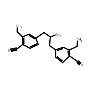 CCc1cc(CC(C)Cc2ccc(C#N)c(CC)c2)ccc1C#N